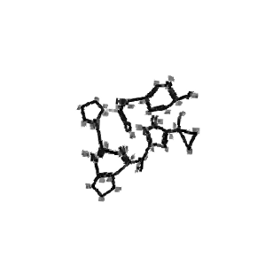 CC1(c2cc(Nc3nc(N4CCC[C@@H]4C(=O)Nc4ccc(F)nc4)nc4c3CCC4)n[nH]2)CC1